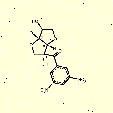 O=C(c1cc([N+](=O)[O-])cc([N+](=O)[O-])c1)[C@@]1(O)CO[C@]2(O)[C@@H](O)CO[C@@H]21